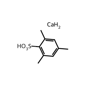 Cc1cc(C)c(S(=O)(=O)O)c(C)c1.[CaH2]